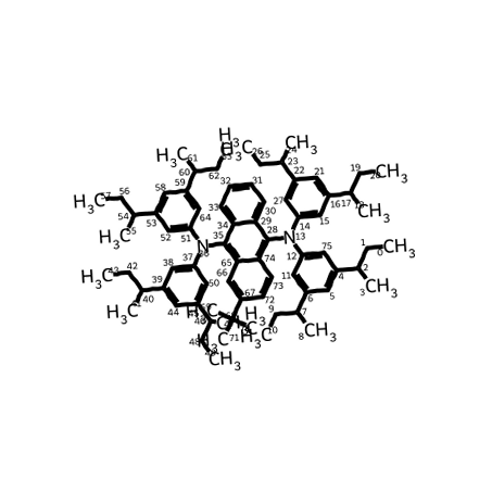 CCC(C)c1cc(C(C)CC)cc(N(c2cc(C(C)CC)cc(C(C)CC)c2)c2c3ccccc3c(N(c3cc(C(C)CC)cc(C(C)CC)c3)c3cc(C(C)CC)cc(C(C)CC)c3)c3cc(C(C)(C)C)ccc23)c1